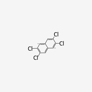 Clc1[c]c2cc(Cl)c(Cl)[c]c2cc1Cl